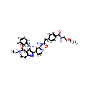 COCCNC(=O)c1ccc(CC(=O)Nc2cc(-c3[nH]c4c(c3Nc3ccccc3)C(=O)N(C)CC4)ccn2)cc1